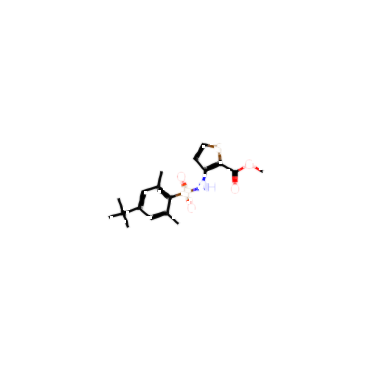 COC(=O)c1sccc1NS(=O)(=O)c1c(C)cc(C(C)(C)C)cc1C